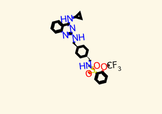 O=S(=O)(NC[C@H]1CC[C@H](CNc2nc(NC3CC3)c3ccccc3n2)CC1)c1ccccc1OC(F)(F)F